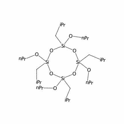 CCCO[Si]1(CC(C)C)O[Si](CC(C)C)(OCCC)O[Si](CC(C)C)(OCCC)O[Si](CC(C)C)(OCCC)O1